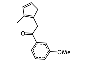 COc1cccc(C(=O)CC2=C(C)C=CC2)c1